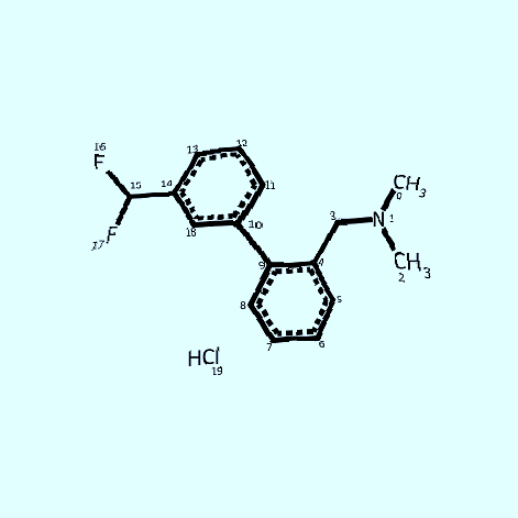 CN(C)Cc1ccccc1-c1cccc(C(F)F)c1.Cl